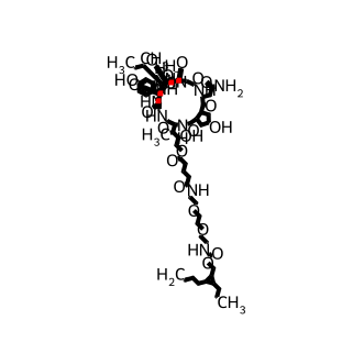 C=CCCC1C(CCC)C1COC(=O)NCCOCCOCCNC(=O)CCCC(=O)OCC(O)C(C)C1NC(=O)C2CC(O)CC2C(=O)C(CC(N)=O)NC(=O)C2C[S+]([O-])c3[nH]c4cc(O)ccc4c3CC(NC1=O)C(=O)NCC(=O)NC(C(C)CC)C(=O)NCC(=O)N2